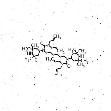 C=CCN(CC=C)C(=O)N(CCCCCCN(C(=O)N(CC=C)CC=C)C1CC(C)(C)NC(C)(C)C1)C1CC(C)(C)NC(C)(C)C1